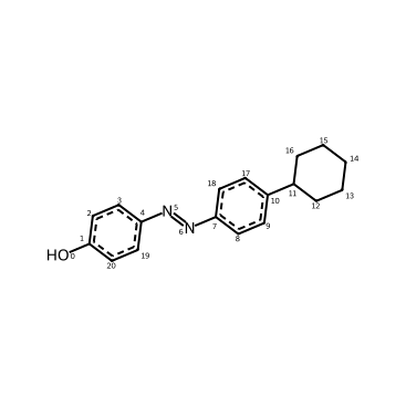 Oc1ccc(N=Nc2ccc(C3CCCCC3)cc2)cc1